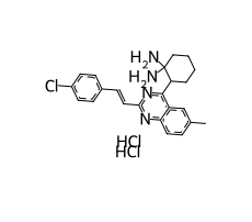 Cc1ccc2nc(C=Cc3ccc(Cl)cc3)nc(C3CCCCC3(N)N)c2c1.Cl.Cl